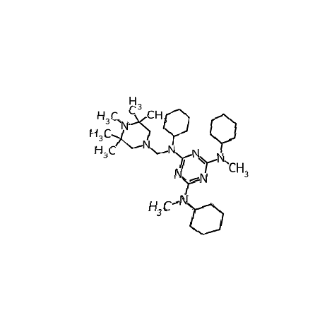 CN(c1nc(N(C)C2CCCCC2)nc(N(CN2CC(C)(C)N(C)C(C)(C)C2)C2CCCCC2)n1)C1CCCCC1